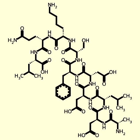 CC(C)C[C@H](NC(=O)[C@H](CCC(N)=O)NC(=O)[C@H](CCCCN)NC(=O)[C@H](CO)NC(=O)[C@H](Cc1ccccc1)NC(=O)[C@H](CC(=O)O)NC(=O)[C@H](CC(=O)O)NC(=O)[C@H](CC(C)C)NC(=O)[C@H](CC(=O)O)NC(=O)[C@H](C)N)C(=O)O